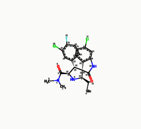 CN(C)C(=O)[C@@H]1N[C@H](CC(C)(C)C)[C@]2(C(=O)Nc3cc(Cl)ccc32)[C@H]1c1ccc(F)c(Cl)c1